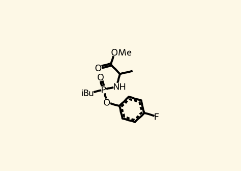 CCC(C)P(=O)(NC(C)C(=O)OC)Oc1ccc(F)cc1